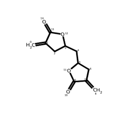 C=C1CC(CC2CC(=C)C(=O)O2)OC1=O